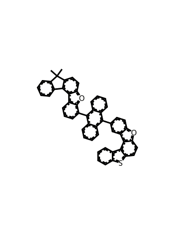 CC1(C)c2ccccc2-c2c1ccc1oc3c(-c4c5ccccc5c(-c5ccc6oc7ccc8sc9ccccc9c8c7c6c5)c5ccccc45)cccc3c21